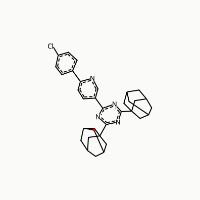 Clc1ccc(-c2ccc(-c3nc(C45CC6CC(CC(C6)C4)C5)nc(C45CC6CC(CC(C6)C4)C5)n3)cn2)cc1